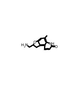 Cc1cc2c(c3ccc(=O)[nH]c13)CC(CN)O2